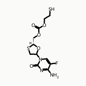 Nc1nc(=O)n(C2CS[C@H](COC(=O)OCCS)O2)cc1F